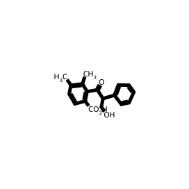 Cc1ccc(C(=O)O)c(C(=O)C(CO)c2ccccc2)c1C